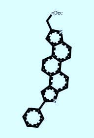 CCCCCCCCCCCc1cc2c(ccc3c2ccc2c4cc(-c5ccccc5)sc4ccc23)s1